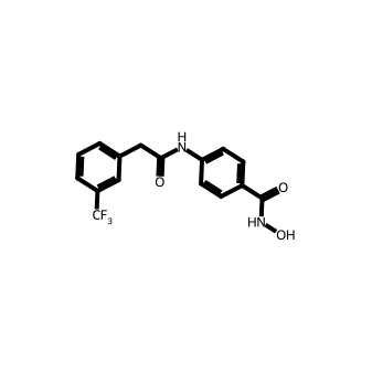 O=C(Cc1cccc(C(F)(F)F)c1)Nc1ccc(C(=O)NO)cc1